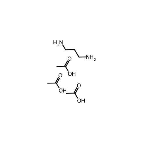 CC(=O)O.CC(=O)O.CC(=O)O.NCCCN